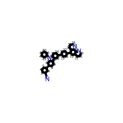 N#Cc1cccc(-c2ccc3c4cc(-c5ccc(-c6cc7cccnc7c7ncccc67)cc5)ccc4n(-c4ccccc4)c3c2)c1